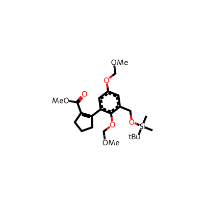 COCOc1cc(CO[Si](C)(C)C(C)(C)C)c(OCOC)c(C2=C(C(=O)OC)CCC2)c1